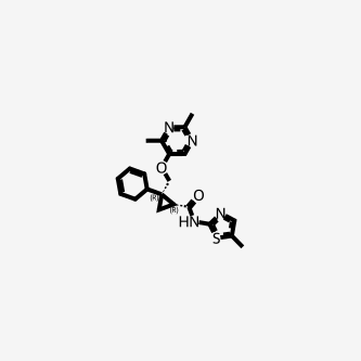 Cc1ncc(OC[C@@]2(C3C=CC=CC3)C[C@H]2C(=O)Nc2ncc(C)s2)c(C)n1